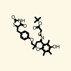 Cc1c(C)c2c(c(C)c1O)C(=NOCC(=O)OC(C)(C)C)CC(C)(COc1ccc(CC3SC(=O)NC3=O)cc1)O2